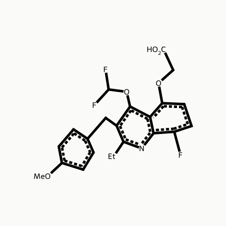 CCc1nc2c(F)ccc(OCC(=O)O)c2c(OC(F)F)c1Cc1ccc(OC)cc1